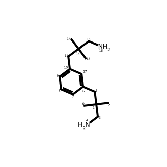 CC(C)(CN)Cc1cccc(CC(C)(C)CN)c1